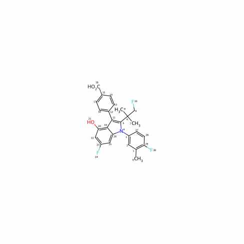 Cc1cc(-n2c(C(C)(C)CF)c(-c3ccc(C(=O)O)cc3)c3c(O)cc(F)cc32)ccc1F